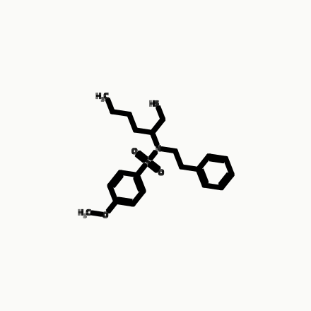 CCCCC(CS)N(CCc1ccccc1)S(=O)(=O)c1ccc(OC)cc1